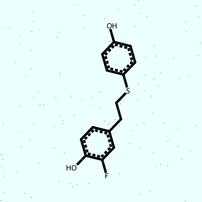 Oc1ccc(SCCc2ccc(O)c(F)c2)cc1